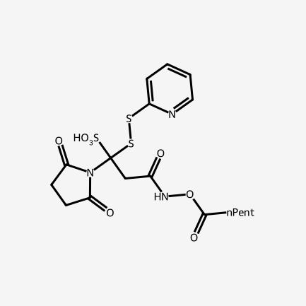 CCCCCC(=O)ONC(=O)CC(SSc1ccccn1)(N1C(=O)CCC1=O)S(=O)(=O)O